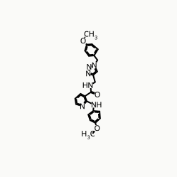 COc1ccc(Cn2cc(CNC(=O)c3cccnc3Nc3ccc(OC)cc3)nn2)cc1